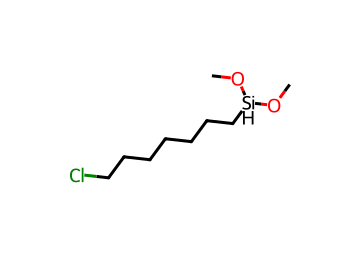 CO[SiH](CCCCCCCCl)OC